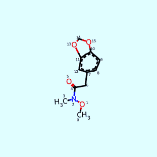 CON(C)C(=O)Cc1ccc2c(c1)OCO2